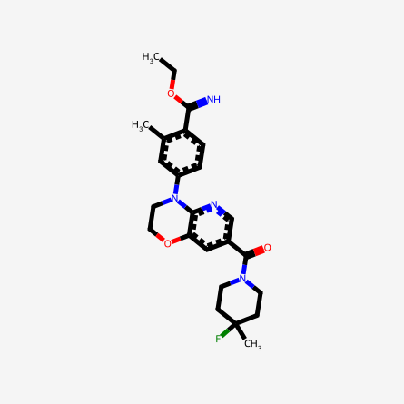 CCOC(=N)c1ccc(N2CCOc3cc(C(=O)N4CCC(C)(F)CC4)cnc32)cc1C